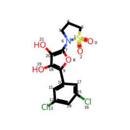 O=S1(=O)CCCN1c1oc(-c2cc(Cl)cc(Cl)c2)c(O)c1O